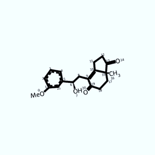 COc1cccc([C@H](O)CC2=C3CCC(=O)[C@]3(C)CCC2=O)c1